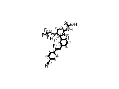 C[C@]1(c2cc(/C=C(\F)c3ccc(C#N)cn3)ccc2F)N=C(NC(=O)O)OCC1OCC(F)(F)F